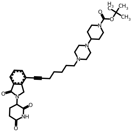 CC(C)(C)OC(=O)N1CCC(N2CCN(CCCCCC#Cc3cccc4c3CN(C3CCC(=O)NC3=O)C4=O)CC2)CC1